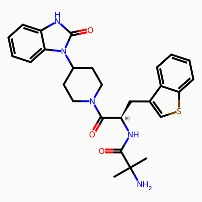 CC(C)(N)C(=O)N[C@H](Cc1csc2ccccc12)C(=O)N1CCC(n2c(=O)[nH]c3ccccc32)CC1